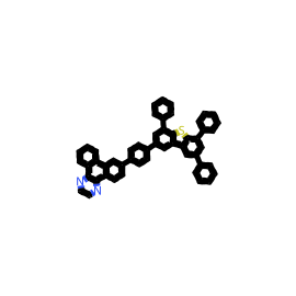 c1ccc(-c2cc(-c3ccccc3)c3sc4c(-c5ccccc5)cc(-c5ccc(-c6ccc7c(c6)c6ccccc6c6nccnc76)cc5)cc4c3c2)cc1